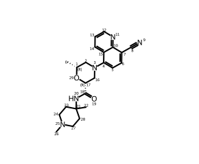 C[C@@H]1CN(c2ccc(C#N)c3ncccc23)C[C@H](C(=O)NC2(C)CCN(C)CC2)O1